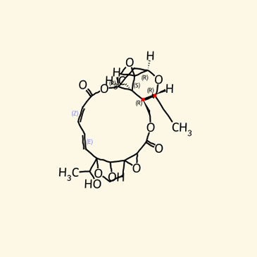 CC1=C[C@H]2O[C@@H]3C[C@H]4OC(=O)/C=C\C=C\C5(C(C)O)OCCC6(OC6C(=O)OC[C@@]2(CC1)[C@]4(C)C31CO1)C5O